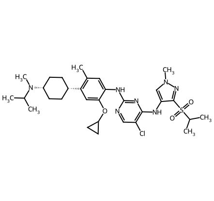 Cc1cc(Nc2ncc(Cl)c(Nc3cn(C)nc3S(=O)(=O)C(C)C)n2)c(OC2CC2)cc1[C@H]1CC[C@@H](N(C)C(C)C)CC1